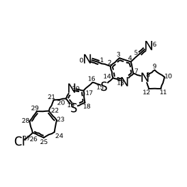 N#Cc1cc(C#N)c(N2CCCC2)nc1SCc1csc(CC2=CCC=C(Cl)C=C2)n1